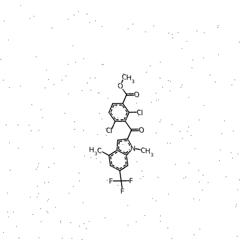 COC(=O)c1ccc(Cl)c(C(=O)c2cc3c(C)cc(C(F)(F)F)cc3n2C)c1Cl